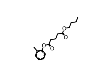 CCCCOC(=O)CCCC(=O)Oc1ccccc1C